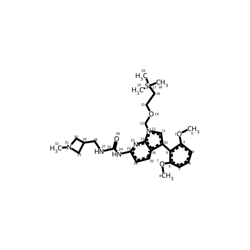 COc1cccc(OC)c1-c1cn(COCC[Si](C)(C)C)c2nc(NC(=O)NCC3CN(C)C3)ccc12